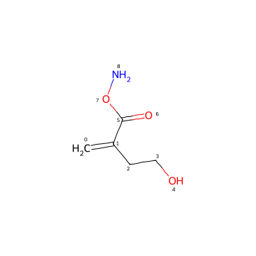 C=C(CCO)C(=O)ON